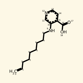 C=CCCCCCCCNc1cnccc1C(=O)O